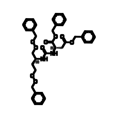 O=C(N[C@@H](CCOOCc1ccccc1)COOCc1ccccc1)N[C@@H](CC(=O)OCc1ccccc1)C(=O)OCc1ccccc1